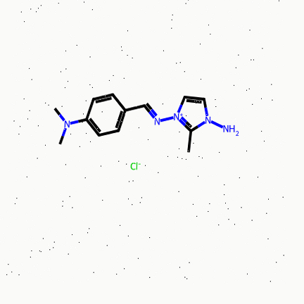 Cc1n(N)cc[n+]1N=Cc1ccc(N(C)C)cc1.[Cl-]